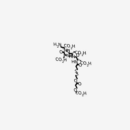 NC[C@H](NC(=O)[C@H](CC(=O)O)NC(=O)[C@H](CC(=O)O)NC(=O)[C@H](CC(=O)O)NC(=O)CCSSCCOC(=O)CCOC(=O)O)C(=O)O